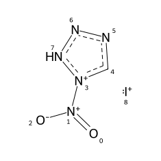 O=[N+]([O-])[n+]1cnn[nH]1.[I+]